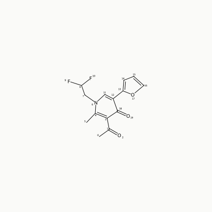 CC(=O)c1c(C)n(CC(F)F)cc(-c2ccco2)c1=O